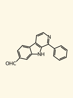 O=Cc1ccc2c(c1)[nH]c1c(-c3ccccc3)nccc12